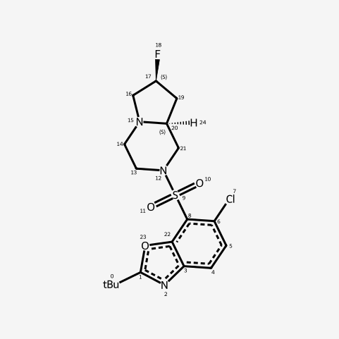 CC(C)(C)c1nc2ccc(Cl)c(S(=O)(=O)N3CCN4C[C@@H](F)C[C@H]4C3)c2o1